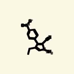 CCc1cn(N)c(C#N)c1-c1ccc([N+](=O)[O-])cc1